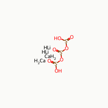 O=S(O)OS(=O)OS(=O)O.[CaH2].[CaH2].[LiH].[LiH]